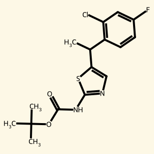 CC(c1cnc(NC(=O)OC(C)(C)C)s1)c1ccc(F)cc1Cl